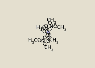 CC(=O)NC1=CC(=[N+](c2ccc(C)cc2)c2ccc(C)cc2)C=C/C1=C1\C(=O)C(c2ccc(N(c3ccc(C)cc3)c3ccc(C)cc3)cc2NC(C)=O)=C1[O-]